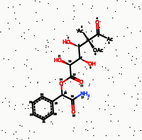 CC(=O)O[C@@](C(C)=O)(C(=O)C(C)=O)[C@@H](O)[C@H](O)[C@H](O)C(=O)OC(C(N)=O)c1ccccc1